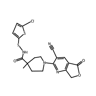 CC1(C(=O)NSc2ccc(Cl)s2)CCN(c2nc3c(cc2C#N)C(=O)OC3)CC1